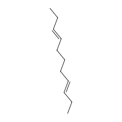 CC/C=C/CCC/C=C/CC